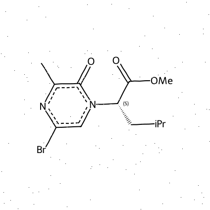 COC(=O)[C@H](CC(C)C)n1cc(Br)nc(C)c1=O